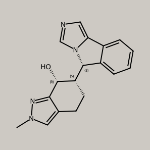 Cn1cc2c(n1)[C@H](O)[C@H]([C@H]1c3ccccc3-c3cncn31)CC2